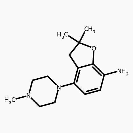 CN1CCN(c2ccc(N)c3c2CC(C)(C)O3)CC1